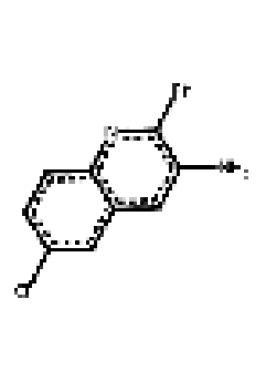 [CH2]Cc1nc2ccc(Cl)cc2cc1N